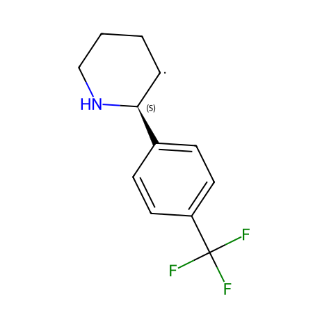 FC(F)(F)c1ccc([C@@H]2[CH]CCCN2)cc1